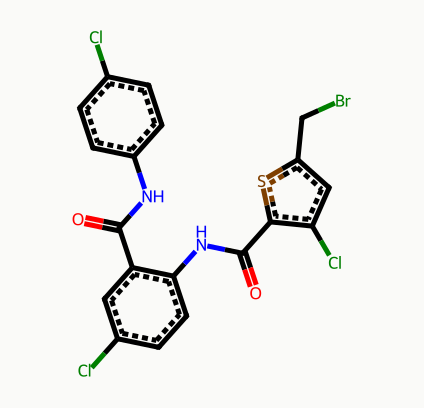 O=C(Nc1ccc(Cl)cc1)c1cc(Cl)ccc1NC(=O)c1sc(CBr)cc1Cl